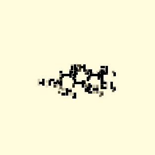 CN(C)CN(C)CN(C)CN(C)C